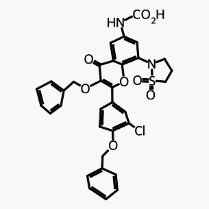 O=C(O)Nc1cc(N2CCCS2(=O)=O)c2oc(-c3ccc(OCc4ccccc4)c(Cl)c3)c(OCc3ccccc3)c(=O)c2c1